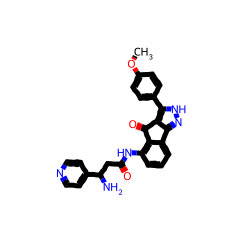 COc1ccc(-c2[nH]nc3c2C(=O)c2c(NC(=O)CC(N)c4ccncc4)cccc2-3)cc1